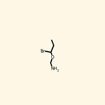 CCC(Br)OCN